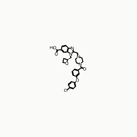 O=C(O)c1ccc2nc(CN3CCN(C(=O)c4cccc(Oc5ccc(Cl)cc5)c4)CC3)n(C[C@@H]3CCO3)c2c1